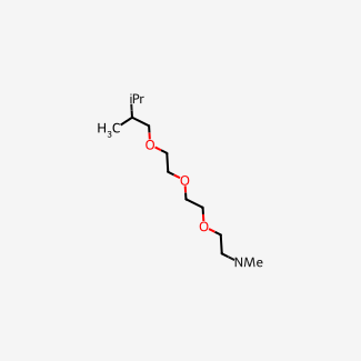 CNCCOCCOCCOCC(C)C(C)C